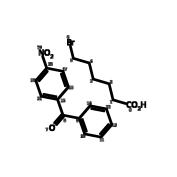 O=C(O)CCCCCBr.O=C(c1ccccc1)c1ccc([N+](=O)[O-])cc1